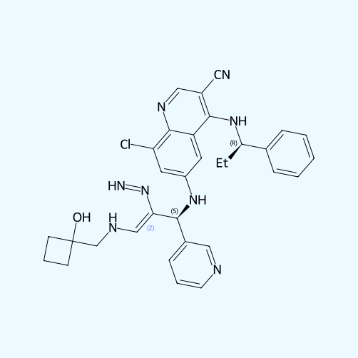 CC[C@@H](Nc1c(C#N)cnc2c(Cl)cc(N[C@H](/C(=C/NCC3(O)CCC3)N=N)c3cccnc3)cc12)c1ccccc1